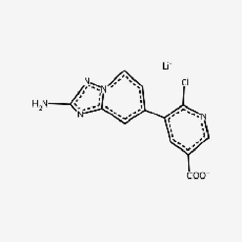 Nc1nc2cc(-c3cc(C(=O)[O-])cnc3Cl)ccn2n1.[Li+]